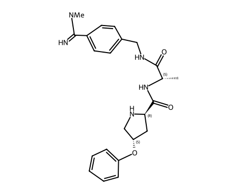 CNC(=N)c1ccc(CNC(=O)[C@H](C)NC(=O)[C@H]2C[C@H](Oc3ccccc3)CN2)cc1